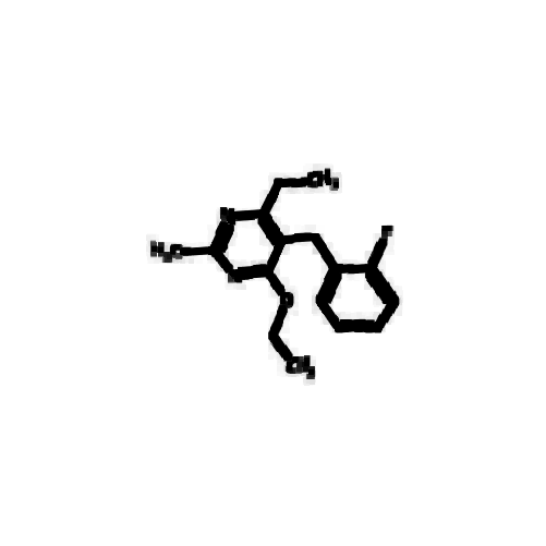 CCOc1nc(C)nc(CC)c1Cc1ccccc1F